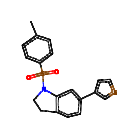 Cc1ccc(S(=O)(=O)N2CCc3ccc(-c4ccsc4)cc32)cc1